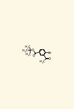 CC(=O)c1cc(C(=O)OC(C)(C)C)ccc1Br